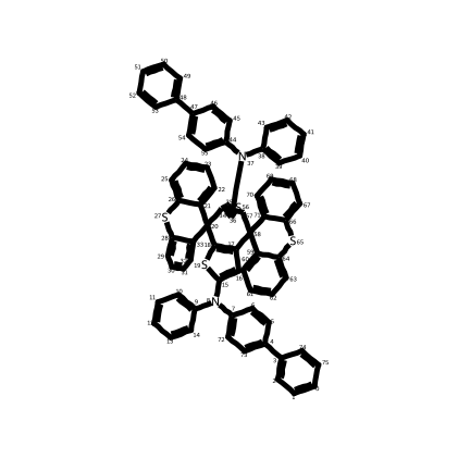 c1ccc(-c2ccc(N(c3ccccc3)c3cc4c(s3)C3(c5ccccc5Sc5ccccc53)c3cc(N(c5ccccc5)c5ccc(-c6ccccc6)cc5)sc3C43c4ccccc4Sc4ccccc43)cc2)cc1